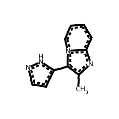 Cc1nc2ccccn2c1-c1ccn[nH]1